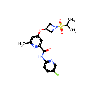 Cc1cc(OC2CN(S(=O)(=O)C(C)C)C2)cc(C(=O)Nc2ccc(F)cn2)n1